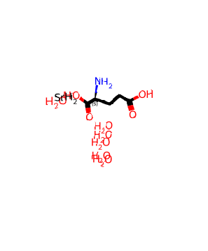 N[C@@H](CCC(=O)O)C(=O)O.O.O.O.O.O.O.[SrH2]